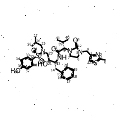 Cc1nc(CN2CCN([C@H](C(=O)N[C@H](Cc3ccccc3)[C@H](O)CN(CC(C)C)S(=O)(=O)c3ccc(O)cc3)C(C)C)C2=O)cs1